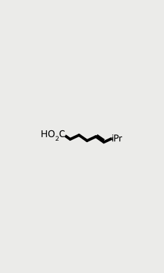 CC(C)C=CCCCC(=O)O